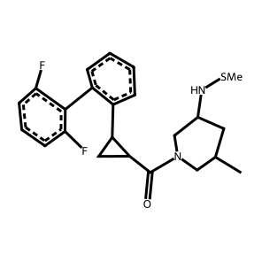 CSNC1CC(C)CN(C(=O)C2CC2c2ccccc2-c2c(F)cccc2F)C1